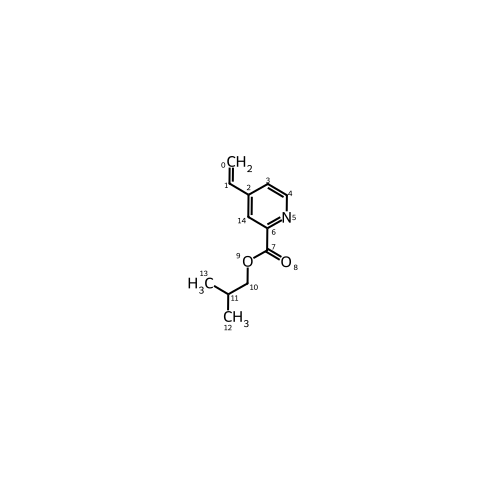 C=Cc1ccnc(C(=O)OCC(C)C)c1